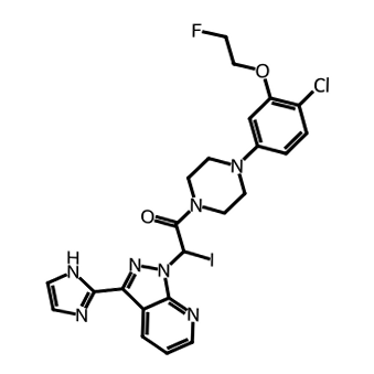 O=C(C(I)n1nc(-c2ncc[nH]2)c2cccnc21)N1CCN(c2ccc(Cl)c(OCCF)c2)CC1